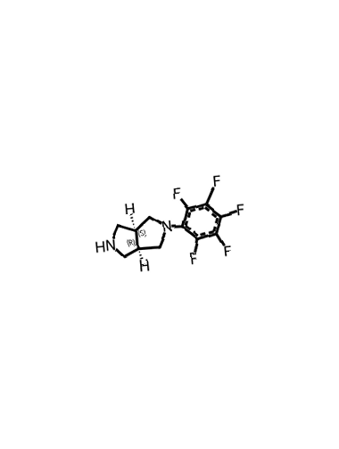 Fc1c(F)c(F)c(N2C[C@H]3CNC[C@H]3C2)c(F)c1F